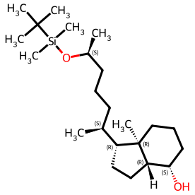 C[C@@H](CCC[C@H](C)[C@H]1CC[C@H]2[C@@H](O)CCC[C@]12C)O[Si](C)(C)C(C)(C)C